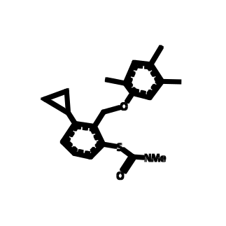 CNC(=O)Sc1cccc(C2CC2)c1COc1cc(C)c(C)cc1C